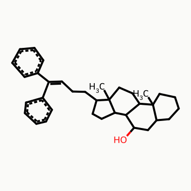 CC12CCC3C(C(O)CC4CCCCC43C)C1CCC2CCC=C(c1ccccc1)c1ccccc1